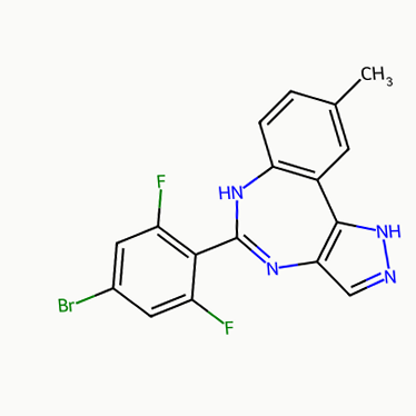 Cc1ccc2c(c1)-c1[nH]ncc1N=C(c1c(F)cc(Br)cc1F)N2